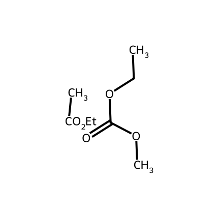 CCOC(=O)OC.CCOC(C)=O